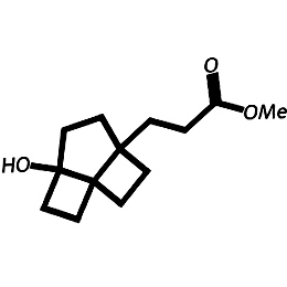 COC(=O)CCC12CCC3(O)CCC31CC2